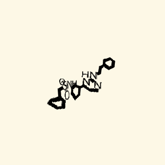 O=S(=O)(Cc1ccccc1)Nc1cccc(-c2ccnc(NCCc3ccccc3)n2)c1